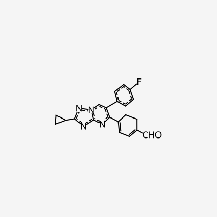 O=CC1=CC=C(c2nc3nc(C4CC4)nn3cc2-c2ccc(F)cc2)CC1